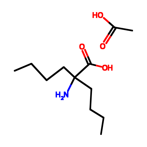 CC(=O)O.CCCCC(N)(CCCC)C(=O)O